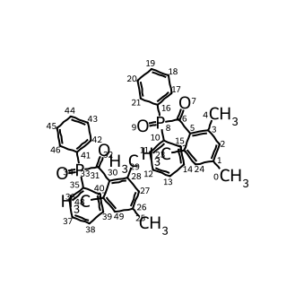 Cc1cc(C)c(C(=O)P(=O)(c2ccccc2)c2ccccc2)c(C)c1.Cc1cc(C)c(C(=O)P(=O)(c2ccccc2)c2ccccc2)c(C)c1